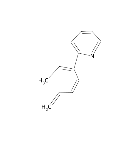 C=C/C=C\C(=C/C)c1ccccn1